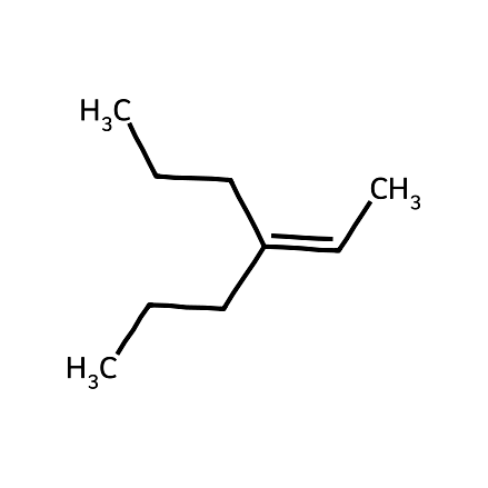 CC=C(CCC)CCC